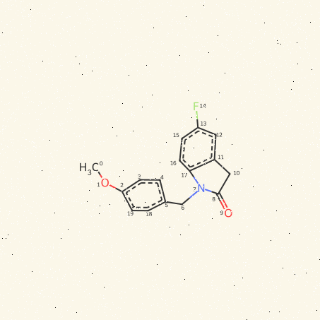 COc1ccc(CN2C(=O)Cc3cc(F)ccc32)cc1